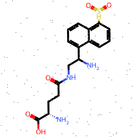 NC(CNC(=O)CC[C@H](N)C(=O)O)c1cccc2c([SH](=O)=O)cccc12